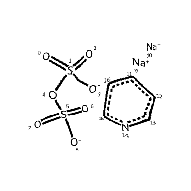 O=S(=O)([O-])OS(=O)(=O)[O-].[Na+].[Na+].c1ccncc1